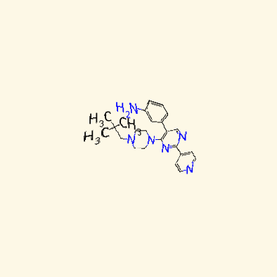 CC(C)(C)CN1CCN(c2nc(-c3ccncc3)ncc2-c2cccc(N)c2)CC1